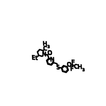 CCC1CCC(C)N(C(=O)c2cccc(CSc3cccc(OC(C)(F)F)c3)n2)C1